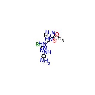 CC(C)(C(N)=O)C(=O)NCCCNc1nc(Nc2ccc(N)cc2)ncc1Br